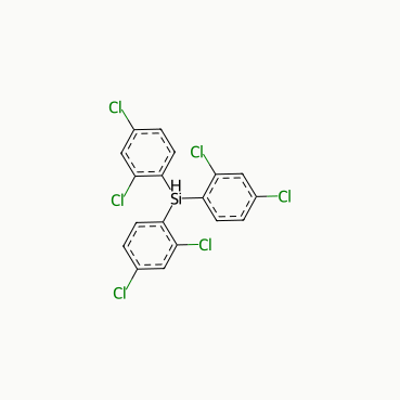 Clc1ccc([SiH](c2ccc(Cl)cc2Cl)c2ccc(Cl)cc2Cl)c(Cl)c1